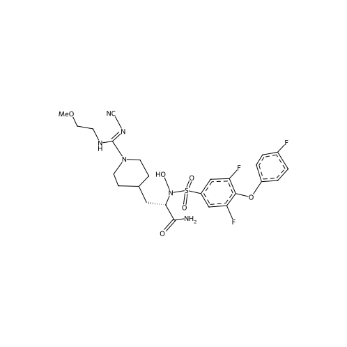 COCCNC(=NC#N)N1CCC(C[C@@H](C(N)=O)N(O)S(=O)(=O)c2cc(F)c(Oc3ccc(F)cc3)c(F)c2)CC1